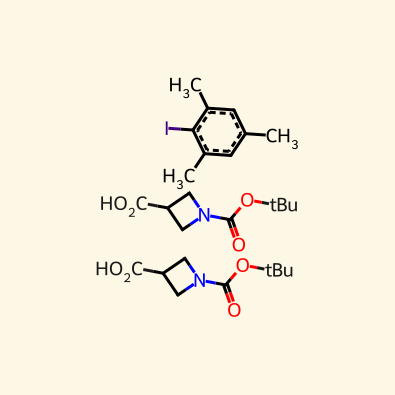 CC(C)(C)OC(=O)N1CC(C(=O)O)C1.CC(C)(C)OC(=O)N1CC(C(=O)O)C1.Cc1cc(C)c(I)c(C)c1